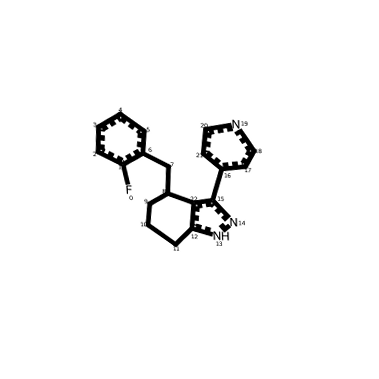 Fc1ccccc1CC1CCCc2[nH]nc(-c3ccncc3)c21